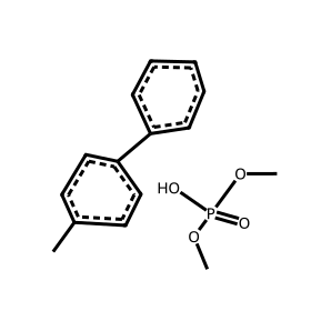 COP(=O)(O)OC.Cc1ccc(-c2ccccc2)cc1